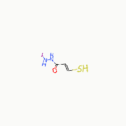 O=C(/C=C/S)NNI